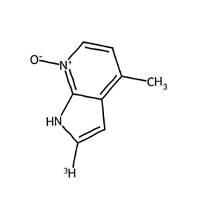 [3H]c1cc2c(C)cc[n+]([O-])c2[nH]1